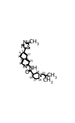 Cc1nnc(-c2ccc3cnc(NC(=O)C4CCCN(CC(C)C)C4)cc3c2)s1